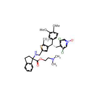 COc1ccc([C@H](Cc2c(Cl)c[n+]([O-])cc2Cl)c2cc(CNC3(C(=O)OCCN(C)C)CCc4ccccc43)sc2C(=O)O)cc1OC